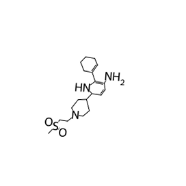 CS(=O)(=O)CCN1CCC(C2C=CC(N)=C(C3=CCCCC3)N2)CC1